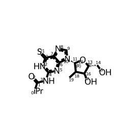 CC(C)C(=O)Nc1nc2c(ncn2[C@@H]2O[C@H](CO)C(O)C2C)c(=S)[nH]1